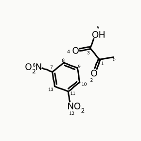 CC(=O)C(=O)O.O=[N+]([O-])c1cccc([N+](=O)[O-])c1